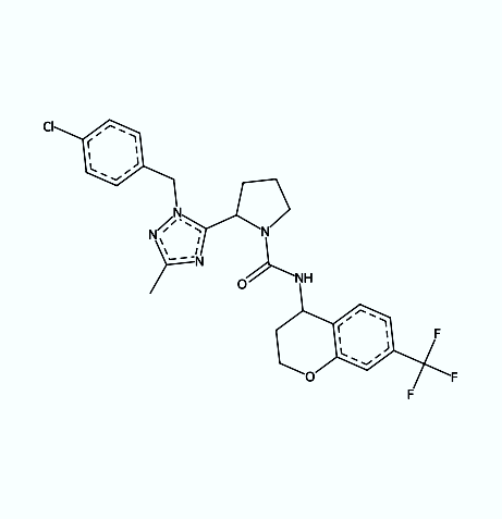 Cc1nc(C2CCCN2C(=O)NC2CCOc3cc(C(F)(F)F)ccc32)n(Cc2ccc(Cl)cc2)n1